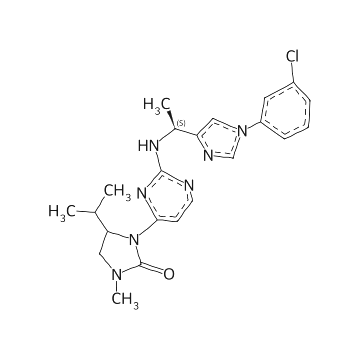 CC(C)C1CN(C)C(=O)N1c1ccnc(N[C@@H](C)c2cn(-c3cccc(Cl)c3)cn2)n1